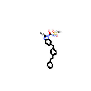 CCCCS(=O)(=O)NC(=O)n1c(C)nc2ccc(Cc3ccc(CCc4ccccc4)cc3)cc21